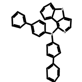 c1ccc(-c2ccc(N(c3ccc(-c4ccccc4)cc3)c3nccc4sc5ccccc5c34)cc2)cc1